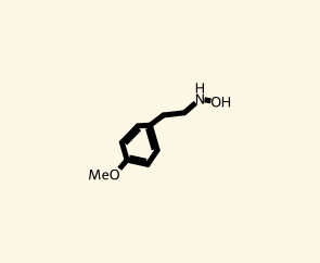 COc1ccc(CCNO)cc1